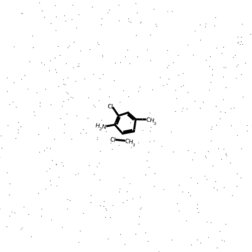 CCl.Cc1ccc(N)c(Cl)c1